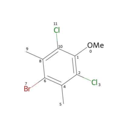 COc1c(Cl)c(C)c(Br)c(C)c1Cl